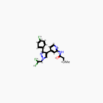 COCC(=O)Nc1cc(-c2cn(CC(F)F)nc2-c2ccc(F)cc2)ccn1